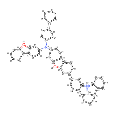 c1ccc(-c2ccc(N(c3ccc4c(c3)oc3ccccc34)c3ccc4c(c3)oc3cc(-c5ccc6c7cccc8c9ccccc9n(c6c5)c87)ccc34)cc2)cc1